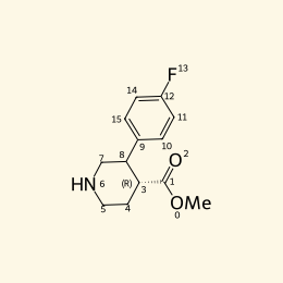 COC(=O)[C@@H]1CCNCC1c1ccc(F)cc1